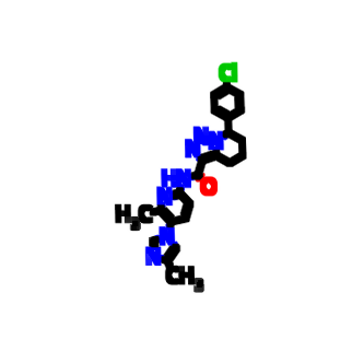 Cc1cn(-c2ccc(NC(=O)c3nnn4c3CCCC4c3ccc(Cl)cc3)nc2C)cn1